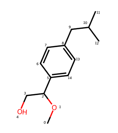 COC(CO)c1ccc(CC(C)C)cc1